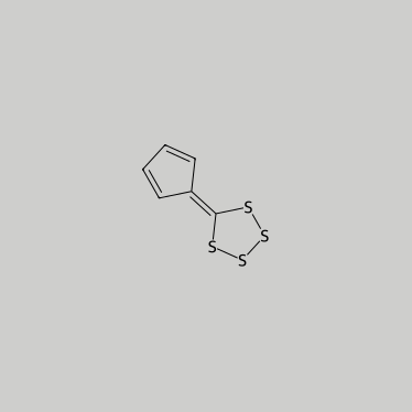 C1=CC(=C2SSSS2)C=C1